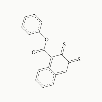 O=C(Oc1ccccc1)C1=c2ccccc2=CC(=S)C1=S